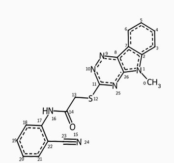 Cn1c2ccccc2c2nnc(SCC(=O)Nc3ccccc3C#N)nc21